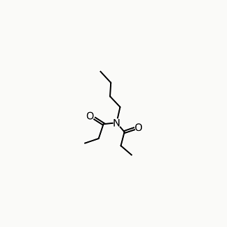 CCCCN(C(=O)CC)C(=O)CC